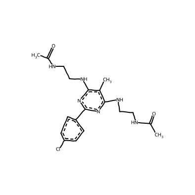 CC(=O)NCCNc1nc(-c2ccc(Cl)cc2)nc(NCCNC(C)=O)c1C